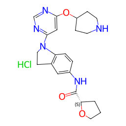 Cl.O=C(Nc1ccc2c(c1)CCN2c1cc(OC2CCNCC2)ncn1)[C@@H]1CCCO1